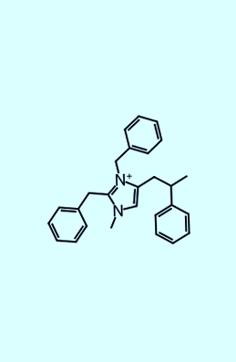 CC(Cc1cn(C)c(Cc2ccccc2)[n+]1Cc1ccccc1)c1ccccc1